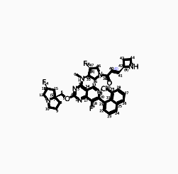 CN(c1nc(OC[C@@]23CCCN2C[C@H](F)C3)nc2c(F)c(-c3cccc4cccc(Cl)c34)ncc12)[C@@H]1CN(C(=O)/C=C/[C@H]2CCN2)C[C@H]1F